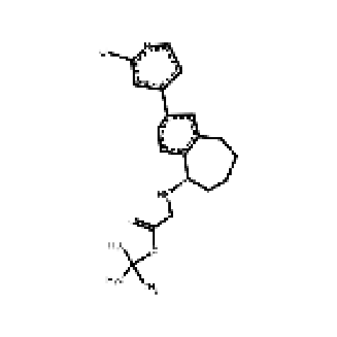 CC(C)(C)OC(=O)CN[C@@H]1CCCCc2cc(-c3ccnc(Cl)c3)ccc21